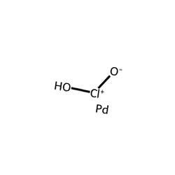 [O-][Cl+]O.[Pd]